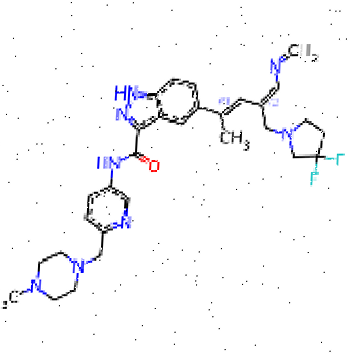 C=N/C=C(\C=C(/C)c1ccc2[nH]nc(C(=O)Nc3ccc(CN4CCN(C)CC4)nc3)c2c1)CN1CCC(F)(F)C1